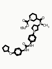 CN(C(=O)C1CCCN(C(=O)OC(C)(C)C)C1)C1CCN(c2ccc(NC(=O)Nc3ccc(OC4CCCC4)cc3)cc2)C1